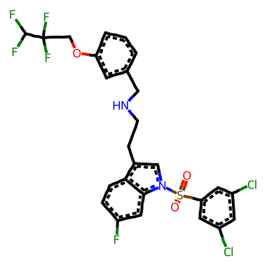 O=S(=O)(c1cc(Cl)cc(Cl)c1)n1cc(CCNCc2cccc(OCC(F)(F)C(F)F)c2)c2ccc(F)cc21